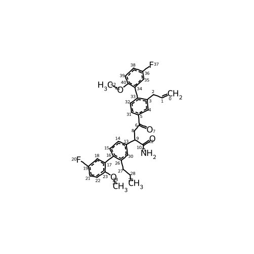 C=CCc1cc(C(=O)CC(C(N)=O)c2ccc(-c3cc(F)ccc3OC)c(CCC)c2)ccc1-c1cc(F)ccc1OC